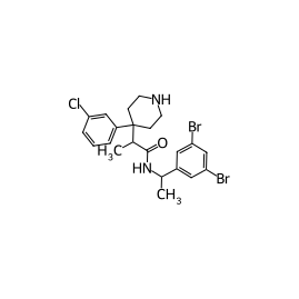 CC(NC(=O)C(C)C1(c2cccc(Cl)c2)CCNCC1)c1cc(Br)cc(Br)c1